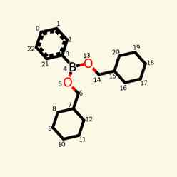 c1ccc(B(OCC2CCCCC2)OCC2CCCCC2)cc1